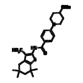 COC1CCN(c2ccc(C(=O)Nc3sc4c(c3C(=O)O)CC(C)(C)CC4(C)C)cc2)CC1